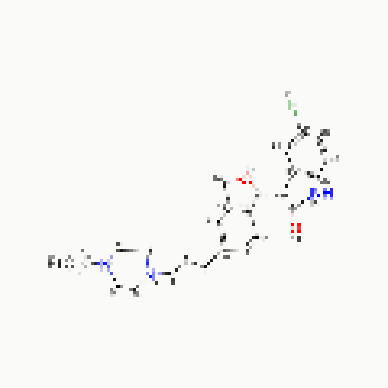 CCOC(=O)N1CCN(CCCc2ccc3c(c2)COC3=C2C(=O)Nc3ccc(F)cc32)CC1